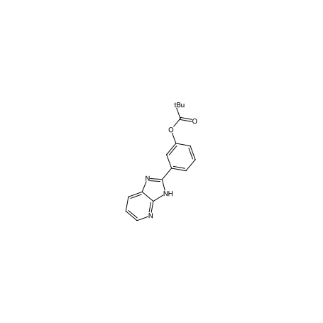 CC(C)(C)C(=O)Oc1cccc(-c2nc3cccnc3[nH]2)c1